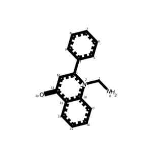 NCn1c(-c2ccccc2)cc(=O)c2ccccc21